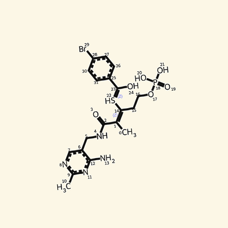 C/C(C(=O)NCc1cnc(C)nc1N)=C(CCOP(=O)(O)O)/[SH]=C(\O)c1ccc(Br)cc1